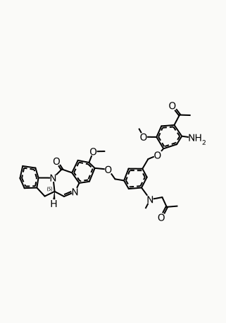 COc1cc(C(C)=O)c(N)cc1OCc1cc(COc2cc3c(cc2OC)C(=O)N2c4ccccc4C[C@H]2C=N3)cc(N(C)CC(C)=O)c1